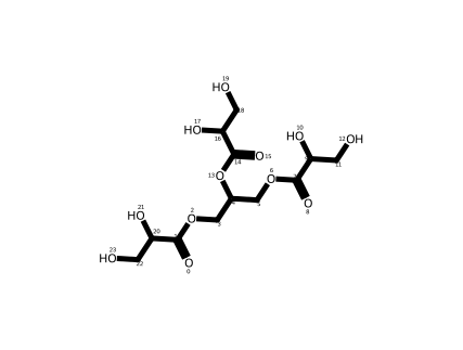 O=C(OCC(COC(=O)C(O)CO)OC(=O)C(O)CO)C(O)CO